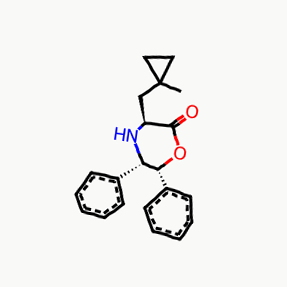 CC1(C[C@@H]2N[C@@H](c3ccccc3)[C@@H](c3ccccc3)OC2=O)CC1